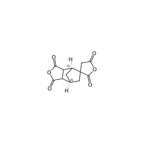 O=C1CC2(C[C@@H]3C[C@H]2C2C(=O)OC(=O)C23)C(=O)O1